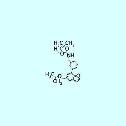 C=C(C)OCc1cc(-c2cccc(CNC(=O)OC(C)(C)C)c2)c2occc2c1